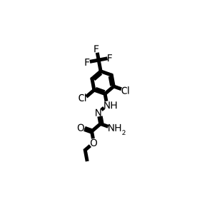 CCOC(=O)C(N)=NNc1c(Cl)cc(C(F)(F)F)cc1Cl